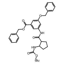 CC(C)(C)OC(=O)NC1CCCC1C(=O)Nc1cc(OCc2ccccc2)cc(C(=O)OCc2ccccc2)c1